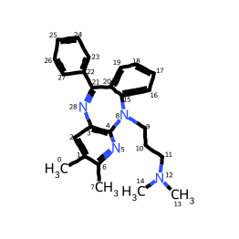 Cc1cc2c(nc1C)N(CCCN(C)C)c1ccccc1C(c1ccccc1)=N2